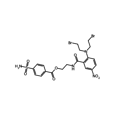 NS(=O)(=O)c1ccc(C(=O)OCCNC(=O)c2cc([N+](=O)[O-])ccc2N(CCBr)CCBr)cc1